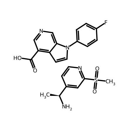 C[C@H](N)c1ccnc(S(C)(=O)=O)c1.O=C(O)c1cncc2c1ccn2-c1ccc(F)cc1